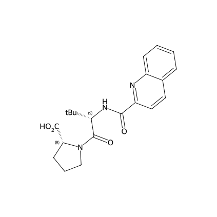 CC(C)(C)[C@H](NC(=O)c1ccc2ccccc2n1)C(=O)N1CCC[C@@H]1C(=O)O